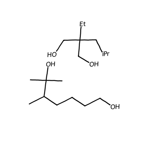 CC(CCCCO)C(C)(C)O.CCC(CO)(CO)CC(C)C